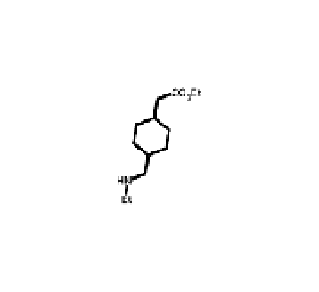 CCNCC1CCC(CC(=O)OCC)CC1